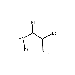 CCNC(CC)C(N)CC